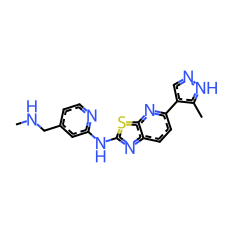 CNCc1ccnc(Nc2nc3ccc(-c4cn[nH]c4C)nc3s2)c1